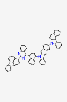 c1ccc2c(c1)-c1cccc3c(-c4nc(-c5ccc(-n6c7ccccc7c7cc8cc(-n9c%10ccccc%10c%10c%11ccccc%11ccc%109)ccc8cc76)c6ccccc56)c5ccccc5n4)ccc-2c13